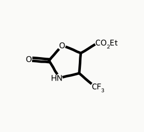 CCOC(=O)C1OC(=O)NC1C(F)(F)F